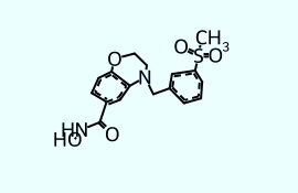 CS(=O)(=O)c1cccc(CN2CCOc3ccc(C(=O)NO)cc32)c1